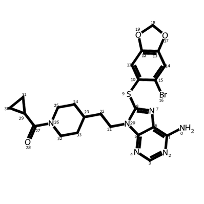 Nc1ncnc2c1nc(Sc1cc3c(cc1Br)OCO3)n2CCC1CCN(C(=O)C2CC2)CC1